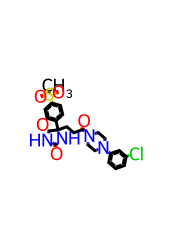 CS(=O)(=O)c1ccc(C2(CCC(=O)N3CCN(c4cccc(Cl)c4)CC3)NC(=O)NC2=O)cc1